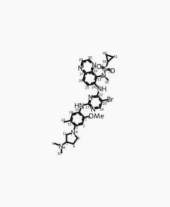 COc1cc(N2CCC(N(C)C)C2)c(C)cc1Nc1ncc(Br)c(Nc2ccc3nccnc3c2N(C)S(=O)(=O)C2CC2)n1